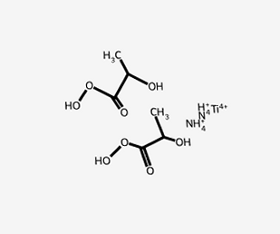 CC(O)C(=O)OO.CC(O)C(=O)OO.[NH4+].[NH4+].[Ti+4]